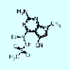 CCN(NS(C)(=O)=O)c1nc(N)nc2c1c(C#N)cn2C